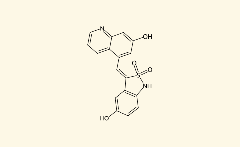 O=S1(=O)Nc2ccc(O)cc2C1=Cc1cc(O)cc2ncccc12